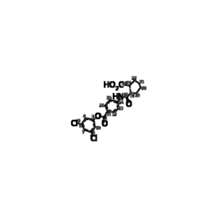 O=C(Oc1cc(Cl)cc(Cl)c1)c1ccc(NC(=O)C2CCCCC2C(=O)O)cc1